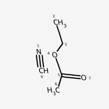 C#N.CCOC(C)=O